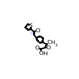 CC1(c2ccc(/C=C(\Cl)c3cccs3)cc2)OC1C(=O)O